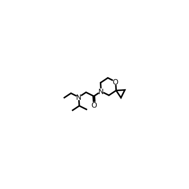 CCN(CC(=O)N1CCOC2(CC2)C1)C(C)C